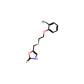 CC(C)(C)c1ccccc1OCCSCc1c[nH]c(=S)o1